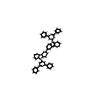 C1=CC2C3CC(c4ccc5c(c4)c4c(n5C5CC(c6ccccc6)=NC(c6ccccc6)C5)C=CCC4)CCC3N(C3=CC(c4ccccc4)=NC(c4ccccc4)C3)C2C=C1